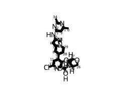 Cc1cc(Nc2cc3cc(-c4cc(Cl)ncc4O[C@H]4[C@@H]5CN(C(=O)O)[C@H]4CO5)ccn3n2)nc(C)n1